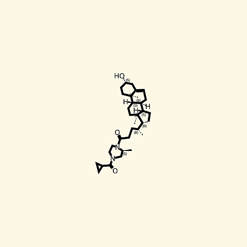 C[C@H](CCC(=O)N1CCN(C(=O)C2CC2)C[C@@H]1C)[C@H]1CC[C@H]2[C@@H]3CC=C4C[C@@H](O)CC[C@]4(C)[C@H]3CC[C@]12C